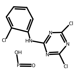 Clc1nc(Cl)nc(Nc2ccccc2Cl)n1.O=PO